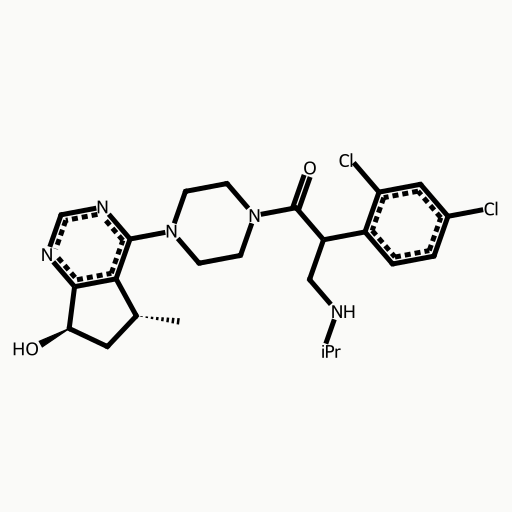 CC(C)NCC(C(=O)N1CCN(c2ncnc3c2[C@H](C)C[C@H]3O)CC1)c1ccc(Cl)cc1Cl